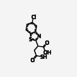 O=C(S)CC(C(=O)O)c1nc2cc(Cl)ccc2s1